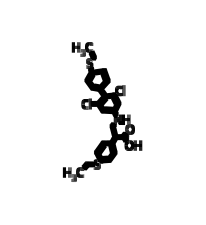 CCSc1ccc(-c2c(Cl)cc(NCC(C(=O)O)c3ccc(SCC)cc3)cc2Cl)cc1